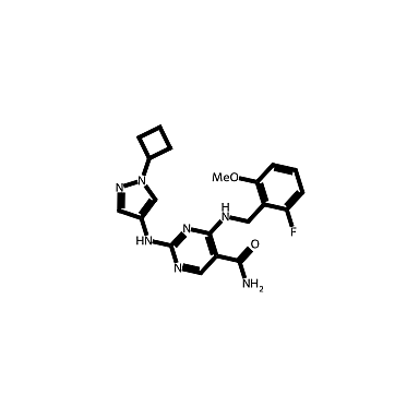 COc1cccc(F)c1CNc1nc(Nc2cnn(C3CCC3)c2)ncc1C(N)=O